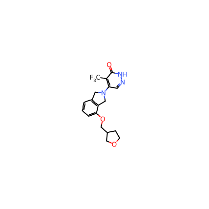 O=c1[nH]ncc(N2Cc3cccc(OCC4CCOC4)c3C2)c1C(F)(F)F